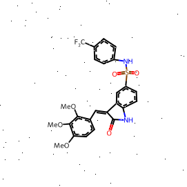 COc1ccc(C=C2C(=O)Nc3ccc(S(=O)(=O)Nc4ccc(C(F)(F)F)cc4)cc32)c(OC)c1OC